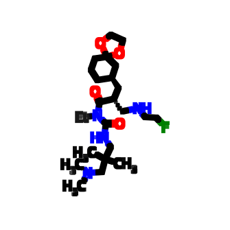 CCN(C(=O)NCC(C)(C)CN(C)C)C(=O)[C@@H](CNCCF)C[C@H]1CCCC2(C1)OCCO2